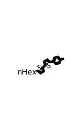 CCCCCCc1ccc(-c2ccc(-c3ccc(C)cc3)s2)s1